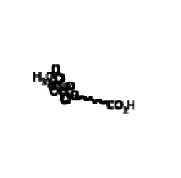 CN1C(=O)CCC(N2C(=O)c3cccc(OCCCCCCCCC(=O)O)c3C2=O)C1=O